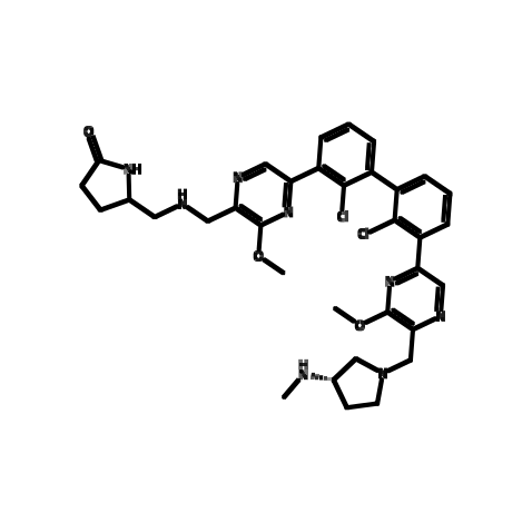 CN[C@H]1CCN(Cc2ncc(-c3cccc(-c4cccc(-c5cnc(CNCC6CCC(=O)N6)c(OC)n5)c4Cl)c3Cl)nc2OC)C1